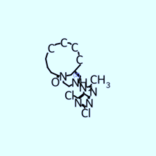 Cc1nc2nc(Cl)nc(Cl)c2n1C/C=C1/CCCCCCCCCCCCC(=O)N(CCN)C1